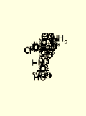 COc1cc(NC(=O)C[C@@]2(C)C[C@H](c3cccc(Cl)c3)[C@@H](c3ccc(Cl)cc3)N(C(CS(=O)(=NC(N)=O)C(C)C)C(C)C)C2=O)ccc1C(=O)O